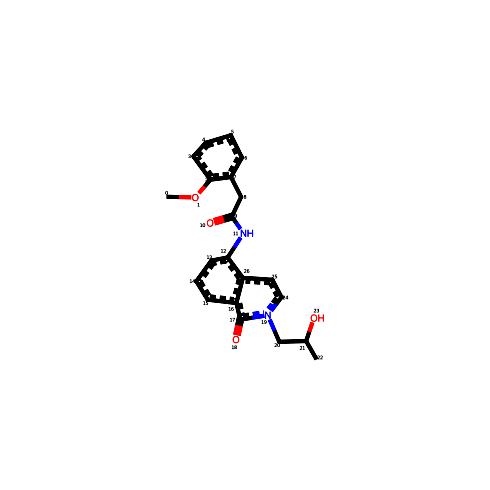 COc1ccccc1CC(=O)Nc1cccc2c(=O)n(CC(C)O)ccc12